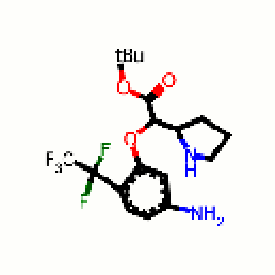 CC(C)(C)OC(=O)C(Oc1cc(N)ccc1C(F)(F)C(F)(F)F)C1CCCN1